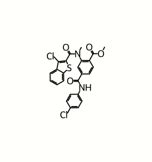 COC(=O)c1ccc(C(=O)Nc2ccc(Cl)cc2)cc1N(C)C(=O)c1sc2ccccc2c1Cl